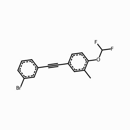 Cc1cc(C#Cc2cccc(Br)c2)ccc1OC(F)F